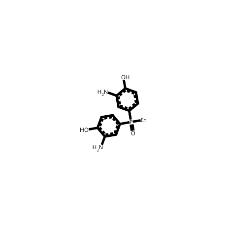 CCP(=O)(c1ccc(O)c(N)c1)c1ccc(O)c(N)c1